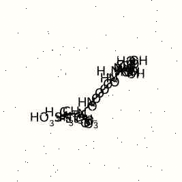 CC[N+]1=C(/C=C/C=C/C=C2/N(CCCCCC(=O)NCCOCCOCCOCCOCCC(=O)NCCCc3cn([C@@H]4O[C@H](COP(=O)(O)O)[C@H](OP(=O)(O)O)C4O)c(=O)nc3N)c3ccc(S(=O)(=O)[O-])cc3C2(C)C)C(C)(C)c2cc(S(=O)(=O)O)ccc21